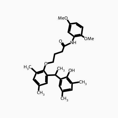 COc1ccc(OC)c(NC(=O)CCCOc2c(C)cc(C)cc2C(C)c2cc(C)cc(C)c2O)c1